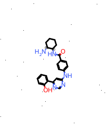 N[C@@H]1CCCC[C@H]1NC(=O)c1ccc(Nc2cc(-c3ccccc3O)ncn2)cc1